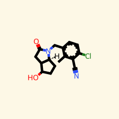 Cc1c(CN2C(=O)CC3C(O)CC[C@@H]32)ccc(Cl)c1C#N